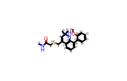 CNC(=O)CSCC1=CC(C)(C)Nc2c1cccc2-c1ccccc1OC